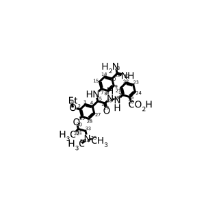 CCOc1cc(C(Nc2ccc(C(=N)N)cc2)C(=O)NNc2ccccc2C(=O)O)ccc1OC(C)CN(C)C